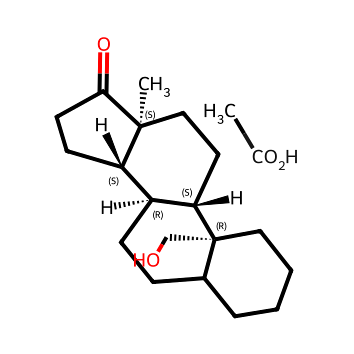 CC(=O)O.C[C@]12CC[C@H]3[C@@H](CCC4CCCC[C@@]43CO)[C@@H]1CCC2=O